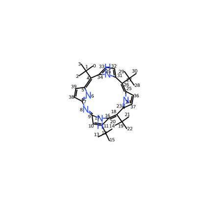 CC(C)(C)c1c2nc(nc3cc(C(C)(C)C)c([nH]3)c(C(C)(C)C)c3nc(c(C(C)(C)C)c4ccc1[nH]4)C=C3)C=C2